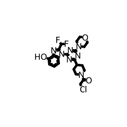 O=C(CCl)N1CCC(c2nc(N3CCOCC3)nc(-n3c(C(F)F)nc4c(O)cccc43)n2)CC1